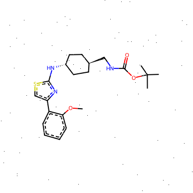 COc1ccccc1-c1csc(N[C@H]2CC[C@H](CNC(=O)OC(C)(C)C)CC2)n1